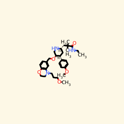 CCNC(=O)C(C)(C)C[C@@H]1C[C@H](c2ccc(OC)cc2)[C@@H](OCc2ccc3c(c2)N(CCCOC)CCO3)CN1